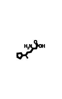 C[C@H](CC[C@H](N)CC(=O)O)C1CCCC1